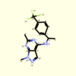 Cc1nc(NC(C)c2ccc(C(F)(F)F)cc2)c2cnn(C)c2n1